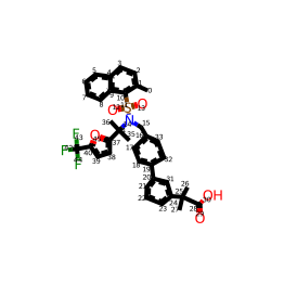 Cc1ccc2ccccc2c1S(=O)(=O)N(Cc1ccc(-c2cccc(C(C)(C)C(=O)O)c2)cc1)C(C)(C)c1ccc(C(F)(F)F)o1